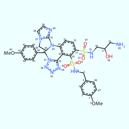 COc1ccc(CNS(=O)(=O)c2c(S(=O)(=O)NCC(O)CN)ccc(N3CCn4ccnc43)c2-c2nnnn2Cc2ccc(OC)cc2)cc1